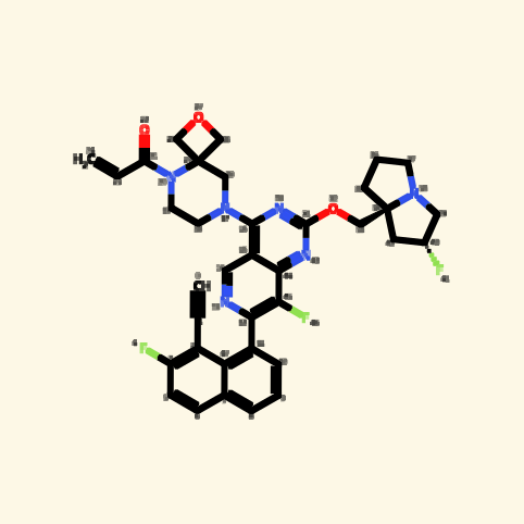 C#Cc1c(F)ccc2cccc(-c3ncc4c(N5CCN(C(=O)C=C)C6(COC6)C5)nc(OC[C@@]56CCCN5C[C@H](F)C6)nc4c3F)c12